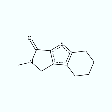 CN1Cc2c(sc3c2CCCC3)C1=O